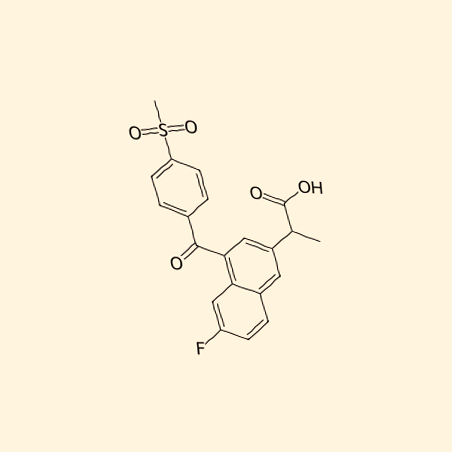 CC(C(=O)O)c1cc(C(=O)c2ccc(S(C)(=O)=O)cc2)c2cc(F)ccc2c1